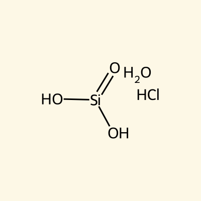 Cl.O.O=[Si](O)O